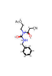 CC(=O)OCCN(C(=O)CC#N)C(=O)NCc1ccccc1